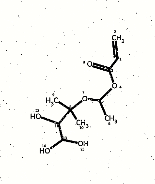 C=CC(=O)OC(C)OC(C)(C)C(O)C(O)O